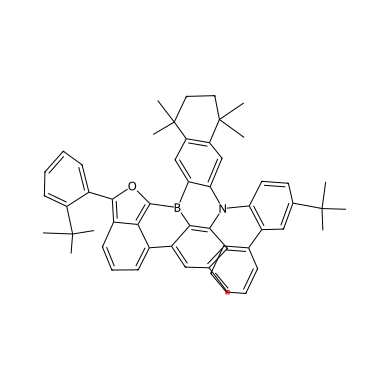 Cc1cc2c3c(c1)N(c1ccc(C(C)(C)C)cc1-c1ccccc1)c1cc4c(cc1B3c1oc(-c3ccccc3C(C)(C)C)c3cccc-2c13)C(C)(C)CCC4(C)C